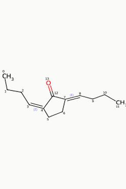 CCC/C=C1/CC/C(=C\CCC)C1=O